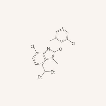 CCC(CC)c1ccc(Cl)c2nc(Oc3c(C)c[c]cc3Cl)n(C)c12